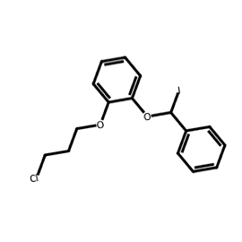 ClCCCOc1ccccc1OC(I)c1ccccc1